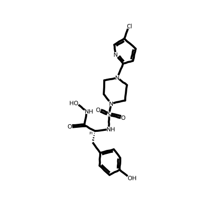 O=C(NO)[C@@H](Cc1ccc(O)cc1)NS(=O)(=O)N1CCN(c2ccc(Cl)cn2)CC1